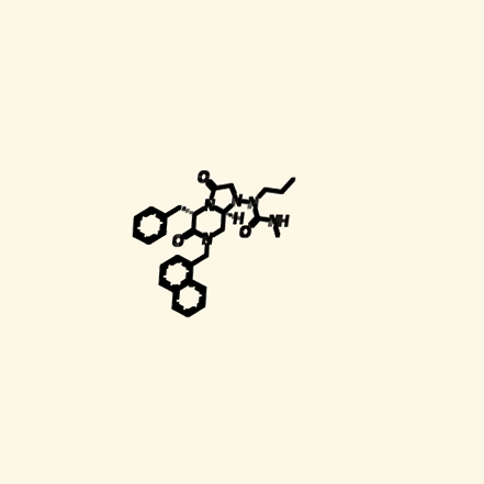 CCCN(C(=O)NC)N1CC(=O)N2[C@@H](Cc3ccccc3)C(=O)N(Cc3cccc4ccccc34)C[C@@H]21